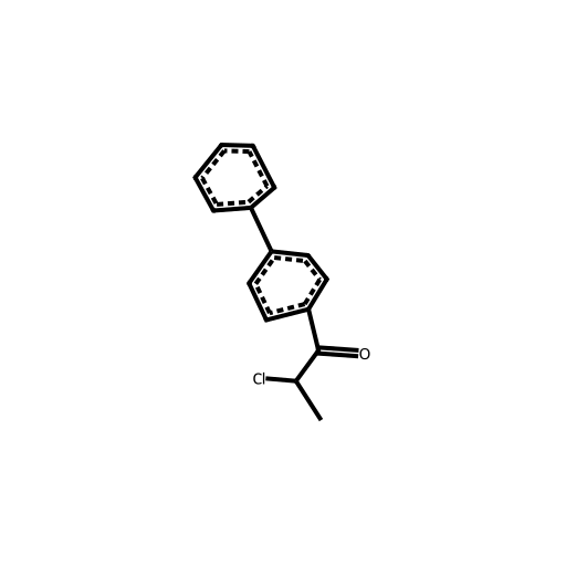 CC(Cl)C(=O)c1ccc(-c2ccccc2)cc1